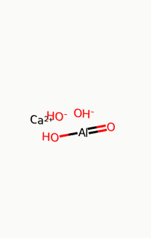 [Ca+2].[OH-].[OH-].[O]=[Al][OH]